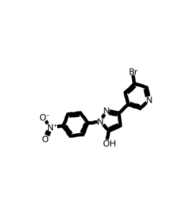 O=[N+]([O-])c1ccc(-n2nc(-c3cncc(Br)c3)cc2O)cc1